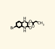 CCC(=O)O[C@@H]1Nc2ccc(Br)cc2NC1=O